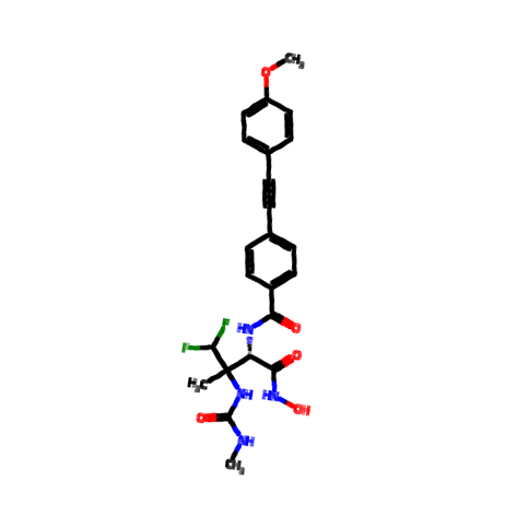 CNC(=O)NC(C)(C(F)F)[C@H](NC(=O)c1ccc(C#Cc2ccc(OC)cc2)cc1)C(=O)NO